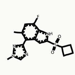 Cc1cc(F)c2[nH]c(S(=O)(=O)C3CCC3)cc2c1-c1ncn(C)n1